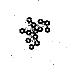 c1ccc(-c2cccc3c2oc2c(N(c4ccccc4)c4cc5c6ccccc6oc5c5c4c4cccc6c7c(N(c8ccccc8)c8cccc9c8oc8c(-c%10ccccc%10)cccc89)cc8c9ccccc9oc8c7n5c46)cccc23)cc1